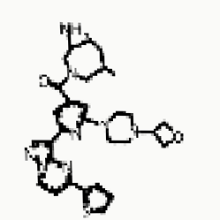 CC1CCC(N)CN(C(=O)c2cc(-c3cnn4ccc(-c5cccs5)nc34)nc(N3CCN(C4COC4)CC3)c2)C1